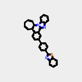 C1=Cc2c(n3c4ccccc4nc3c3cc(-c4ccc(-c5nc6ccccc6s5)cc4)ccc23)C=CC1